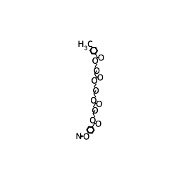 Cc1ccc(C(=O)OCCOCC(=O)OCCOCCOC(=O)COCCOC(=O)c2ccc(OC#N)cc2)cc1